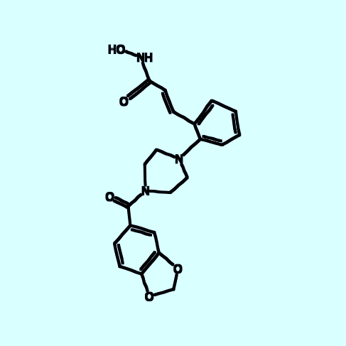 O=C(C=Cc1ccccc1N1CCN(C(=O)c2ccc3c(c2)OCO3)CC1)NO